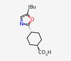 CC(C)(C)c1cnc([C@H]2CC[C@H](C(=O)O)CC2)o1